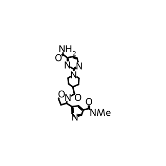 CNC(=O)c1cncc(C2CCON2C(=O)C2CCN(c3nccc(C(N)=O)n3)CC2)c1